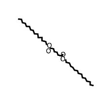 CCCCCCCCCCCCCCCOC(=O)CCCCC(=O)OCCCCCCCCCCCCCCC